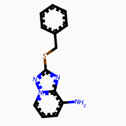 Nc1cccn2nc(SCc3ccccc3)nc12